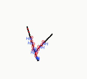 CCCCCCCCCCCCCCCC(=O)NCCOCCNC(=O)CCOCCNC(=O)CC[C@H](NC(=O)CCOCCn1cc(C(C)C)nn1)C(=O)NCCOCCC(=O)NCCOCCNC(=O)CCCCCCCCCCCCCCC